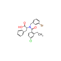 CCc1cc(Cl)ccc1C(=O)N(Cc1cccc(Br)c1)C(Cc1ccccc1)C(=O)O